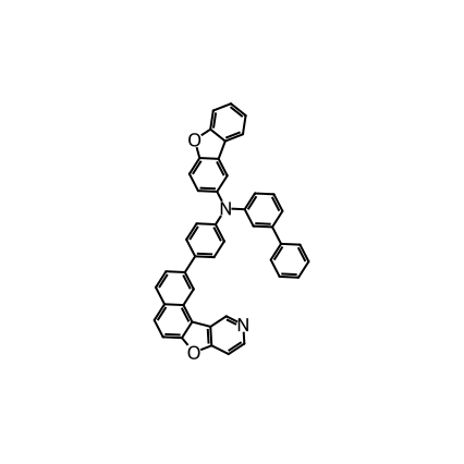 c1ccc(-c2cccc(N(c3ccc(-c4ccc5ccc6oc7ccncc7c6c5c4)cc3)c3ccc4oc5ccccc5c4c3)c2)cc1